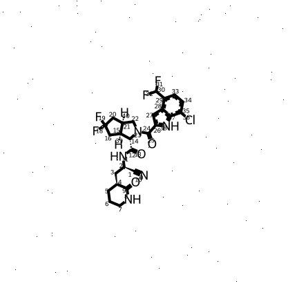 N#C[C@@H](C[C@@H]1CCCNC1=O)NC(=O)[C@@H]1[C@H]2CC(F)(F)C[C@H]2CN1C(=O)c1cc2c(C(F)F)ccc(Cl)c2[nH]1